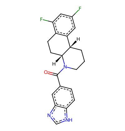 O=C(c1ccc2[nH]cnc2c1)N1CCC[C@H]2c3cc(F)cc(F)c3CC[C@H]21